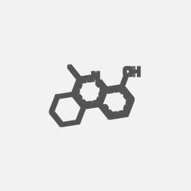 Cc1nc2c(O)cccc2c2c1CCCC2